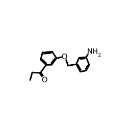 CCC(=O)c1cccc(OCc2cccc(N)c2)c1